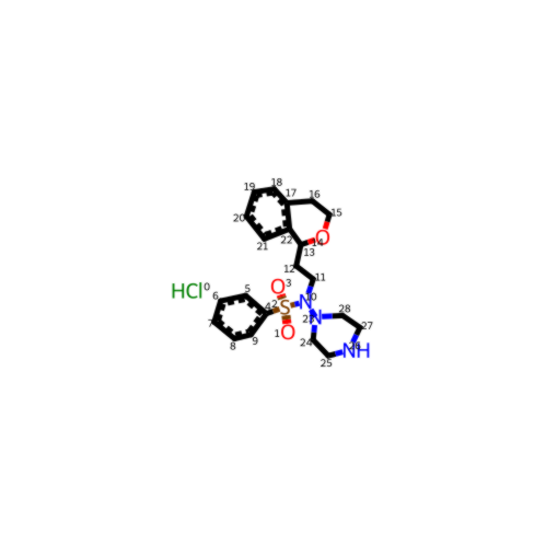 Cl.O=S(=O)(c1ccccc1)N(CCC1OCCc2ccccc21)N1CCNCC1